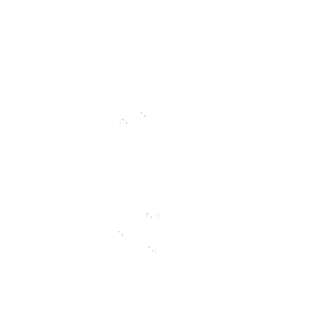 CC(C)CCCCc1n[nH]c2ccc([C@]3(C)CC(=O)N(C)C(=N)N3)cc12